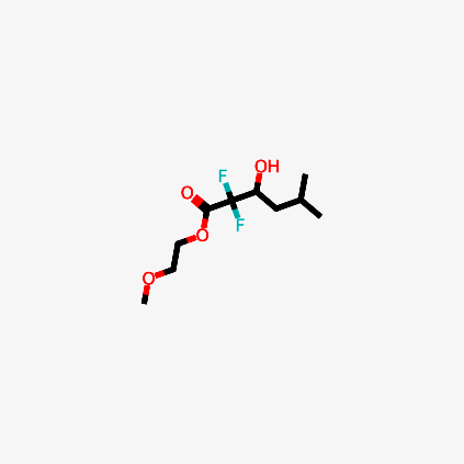 COCCOC(=O)C(F)(F)C(O)CC(C)C